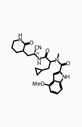 COc1cccc2[nH]c(C(=O)N(C)C(CC3CC3)C(=O)N[C@H](C#N)CC3CCCNC3=O)cc12